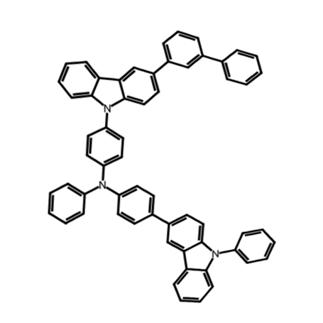 c1ccc(-c2cccc(-c3ccc4c(c3)c3ccccc3n4-c3ccc(N(c4ccccc4)c4ccc(-c5ccc6c(c5)c5ccccc5n6-c5ccccc5)cc4)cc3)c2)cc1